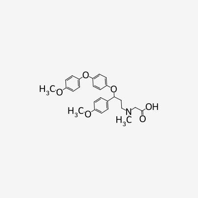 COc1ccc(Oc2ccc(OC(CCN(C)CC(=O)O)c3ccc(OC)cc3)cc2)cc1